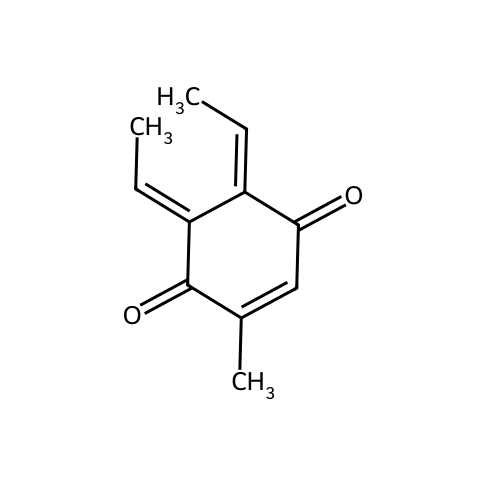 C/C=C1/C(=O)C=C(C)C(=O)/C1=C/C